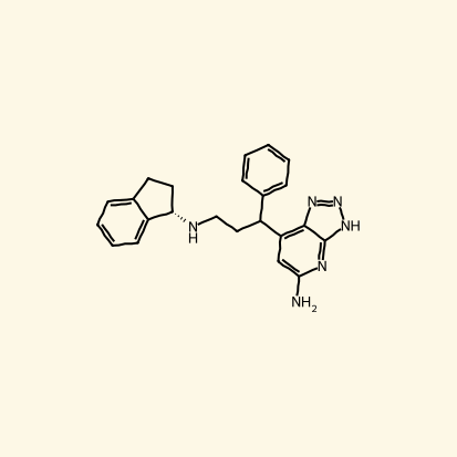 Nc1cc(C(CCN[C@H]2CCc3ccccc32)c2ccccc2)c2nn[nH]c2n1